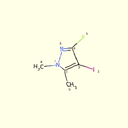 Cc1c(I)c(F)nn1C